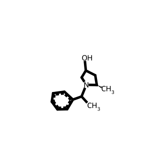 CC(c1ccccc1)N1CC(O)C[C@@H]1C